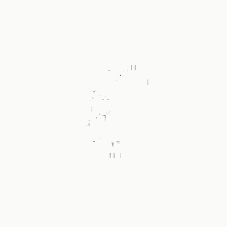 CC(C)(COS(=O)(=O)ON1C(=O)N2C[C@H]1CC[C@H]2C(N)=O)C(=O)O